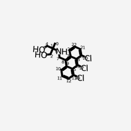 CC(CO)(CO)NCc1c2cccc(Cl)c2c(Cl)c2c(Cl)cccc12